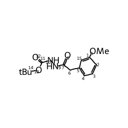 COc1cccc(CC(=O)NNC(=O)OC(C)(C)C)c1